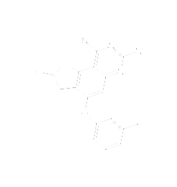 CC1Cc2c(Oc3cccc(I)c3)cc3nc(N)nc(N)c3c2O1